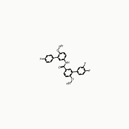 CCCOc1ccc(NC(=O)c2ccc(OCCC)c(-c3ccc(F)c(F)c3)c2)cc1-c1ccc(F)cc1